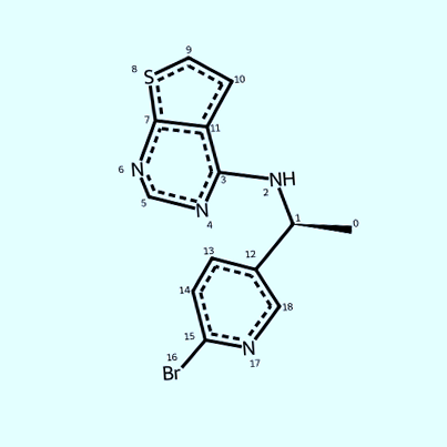 C[C@H](Nc1ncnc2sccc12)c1ccc(Br)nc1